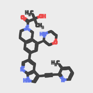 Cc1cccnc1C#Cc1c[nH]c2ncc(-c3cc4c(c([C@@H]5COCCN5)c3)CN(C(=O)C(C)(C)O)CC4)cc12